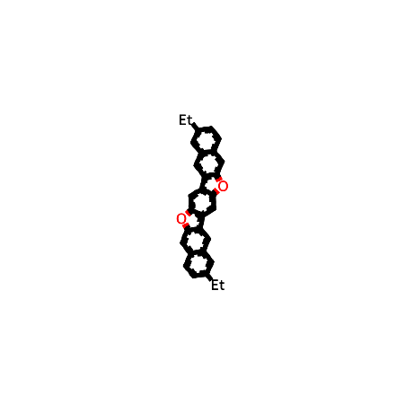 CCc1ccc2cc3oc4cc5c(cc4c3cc2c1)oc1cc2ccc(CC)cc2cc15